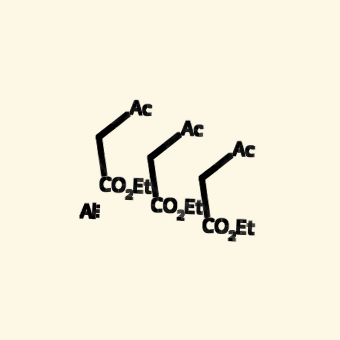 CCOC(=O)CC(C)=O.CCOC(=O)CC(C)=O.CCOC(=O)CC(C)=O.[Al]